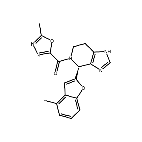 Cc1nnc(C(=O)N2CCc3[nH]cnc3[C@H]2c2cc3c(F)cccc3o2)o1